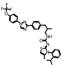 Cc1cs/c(=N\C(=O)NCC(C)Cc2ccc(-c3ncn(-c4ccc(OC(F)(F)F)cc4)n3)cc2)n1-c1ccccc1C(C)C